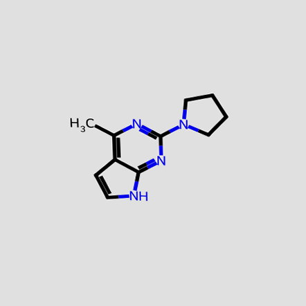 Cc1nc(N2CCCC2)nc2[nH]ccc12